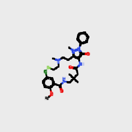 CCOc1ccc(Cl)cc1C(=O)NCC(C)(C)CC(=O)Nc1c(CCN(C)CCF)n(C)n(-c2ccccc2)c1=O